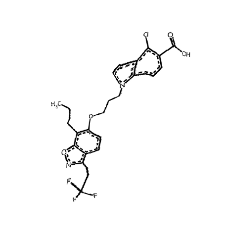 CCCc1c(OCCCn2ccc3c(Cl)c(C(=O)O)ccc32)ccc2c(CC(F)(F)F)noc12